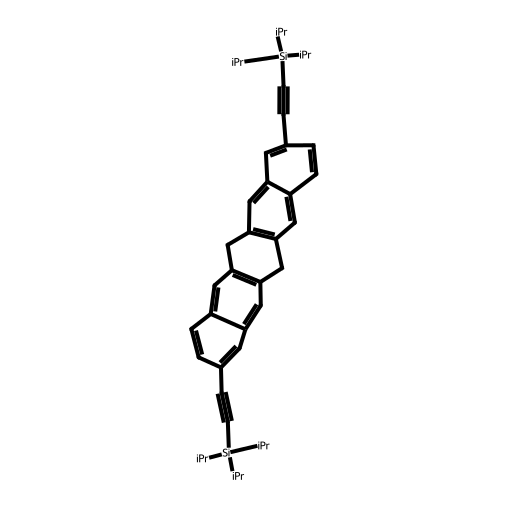 CC(C)[Si](C#Cc1ccc2cc3c(cc2c1)Cc1cc2ccc(C#C[Si](C(C)C)(C(C)C)C(C)C)cc2cc1C3)(C(C)C)C(C)C